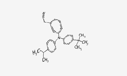 CC(C)c1ccc(N(c2ccc(C(C)(C)C)cc2)c2cccc(CC#N)c2)cc1